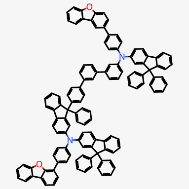 c1ccc(C2(c3ccccc3)c3ccccc3-c3ccc(N(c4ccc(-c5ccc6oc7ccccc7c6c5)cc4)c4cccc(-c5cccc(-c6ccc(C7(c8ccccc8)c8ccccc8-c8ccc(N(c9ccc(-c%10cccc%11c%10oc%10ccccc%10%11)cc9)c9ccc%10c(c9)C(c9ccccc9)(c9ccccc9)c9ccccc9-%10)cc87)cc6)c5)c4)cc32)cc1